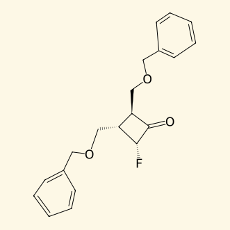 O=C1[C@H](F)[C@H](COCc2ccccc2)[C@H]1COCc1ccccc1